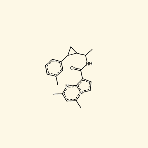 Cc1cccc(C2CC2C(C)NC(=O)c2ccn3c(C)cc(C)nc23)c1